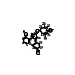 COc1ccccc1-n1nc(O[C@H]2CC(C)(C)[S@+]([O-])C(C)(C)C2)cc1-c1ccc(Cl)cc1